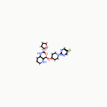 O=C(NC1CCCNC1COC1CCN(c2ncc(F)cn2)CC1)[C@@H]1CCCO1